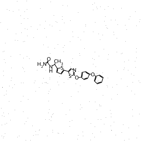 CC(NC(N)=O)c1ccc(-c2cnc(Oc3ccc(Oc4ccccc4)cc3)s2)s1